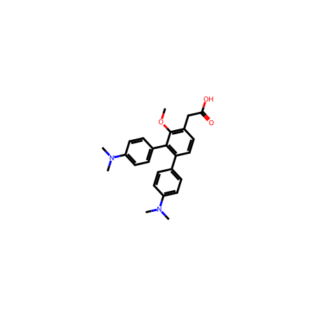 COc1c(CC(=O)O)ccc(-c2ccc(N(C)C)cc2)c1-c1ccc(N(C)C)cc1